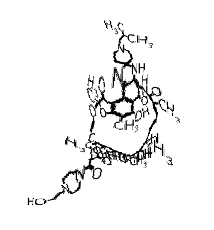 C/C1=C/C=C/[C@H](C)[C@H](O)[C@@H](C)[C@@H](O)[C@@H](C)[C@H](OC(=O)CC(=O)N2CCN(CCO)CC2)[C@H](C)C/C=C/O[C@@]2(C)Oc3c(C)c(O)c4c(c3C2=O)C2=NC3(CCN(CC(C)C)CC3)NC2=C(NC1=O)C4=O